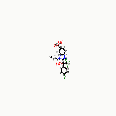 CCn1c(C(O)(c2ccc(F)cc2)C(F)(F)F)nc2ccc(C(=O)O)cc21